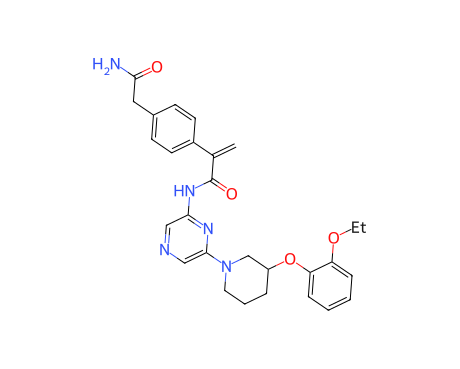 C=C(C(=O)Nc1cncc(N2CCCC(Oc3ccccc3OCC)C2)n1)c1ccc(CC(N)=O)cc1